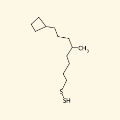 CC(CCCCSS)CCCC1CCC1